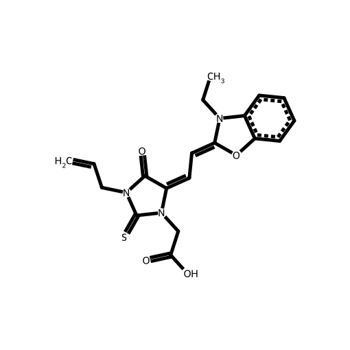 C=CCN1C(=O)/C(=C\C=C2/Oc3ccccc3N2CC)N(CC(=O)O)C1=S